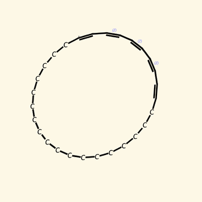 [C]1=C\C=C/C=C\C=C/C=CCCCCCCCCCCCCCCCCCC1